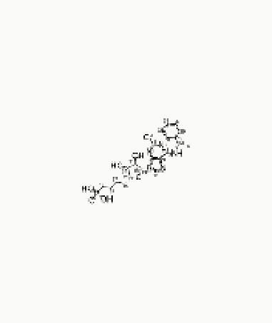 C[C@H](Nc1nc(Cl)nc2c1ncn2[C@@H]1O[C@H](CCCCP(=O)(O)O)C(O)C1O)c1ccccc1